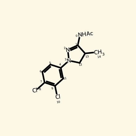 CC(=O)NC1=NN(c2ccc(Cl)c(Cl)c2)CC1C